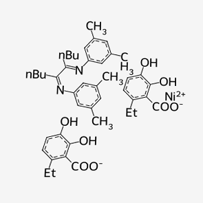 CCCCC(=Nc1cc(C)cc(C)c1)C(CCCC)=Nc1cc(C)cc(C)c1.CCc1ccc(O)c(O)c1C(=O)[O-].CCc1ccc(O)c(O)c1C(=O)[O-].[Ni+2]